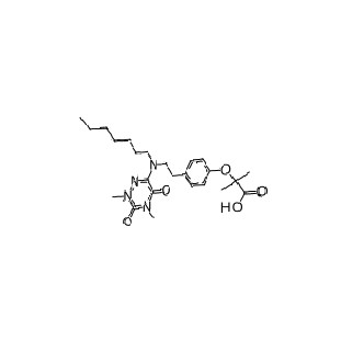 CCCCCCCN(CCc1ccc(OC(C)(C)C(=O)O)cc1)c1nn(C)c(=O)n(C)c1=O